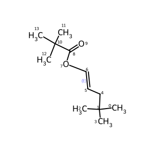 CC(C)(C)C/C=C/OC(=O)C(C)(C)C